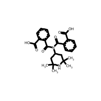 CC1(C)CC(N(C(=O)c2ccccc2C(=O)O)C(=O)c2ccccc2C(=O)O)CC(C)(C)N1